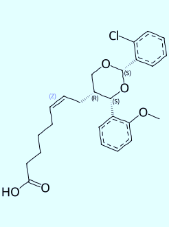 COc1ccccc1[C@H]1O[C@@H](c2ccccc2Cl)OC[C@H]1C/C=C\CCCCC(=O)O